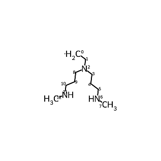 [CH2]CN(CCCNC)CCCNC